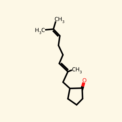 CC(C)=CCC/C=C(\C)CC1CCCC1=O